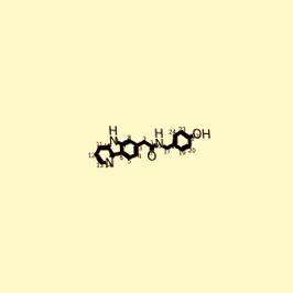 O=C(Cc1ccc2c(c1)[nH]c1cccnc12)NCc1ccc(O)cc1